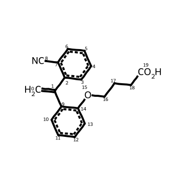 C=C(c1ccccc1C#N)c1ccccc1OCCCC(=O)O